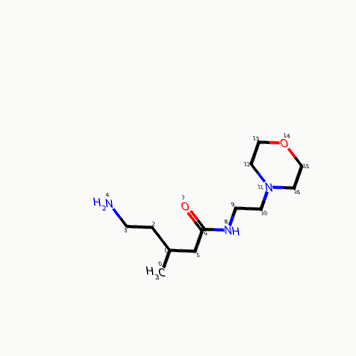 CC(CCN)CC(=O)NCCN1CCOCC1